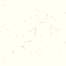 CC(C)(C)OC(=O)N1C[C@@H]2C(C3=NOC(C)(C)N3C3CC3)[C@@H]2C1